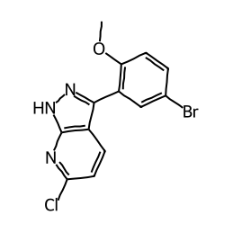 COc1ccc(Br)cc1-c1n[nH]c2nc(Cl)ccc12